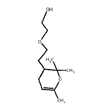 CC1=CCC(CCOCCO)C(C)(C)O1